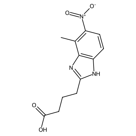 Cc1c([N+](=O)[O-])ccc2[nH]c(CCCC(=O)O)nc12